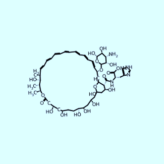 COC(=O)[C@H](Cc1c[nH]cn1)NC(=O)[C@H]1[C@@H]2C[C@@H](OC3O[C@H](O)[C@@H](O)[C@H](N)[C@@H]3O)/C=C/C=C/C=C/C=C/C=C/C=C/C=C/[C@H](C)[C@@H](O)[C@@H](C)[C@H](C)OC(=O)C[C@H](O)C[C@H](O)CC[C@@H](O)[C@H](O)C[C@H](O)C[C@](O)(C[C@@H]1O)O2